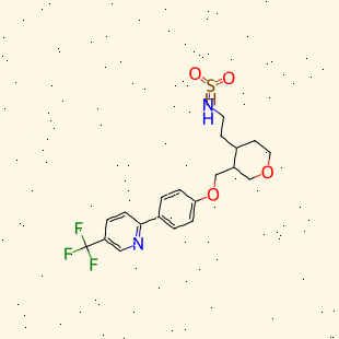 O=[SH](=O)NCCC1CCOCC1COc1ccc(-c2ccc(C(F)(F)F)cn2)cc1